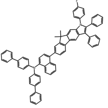 CC1(C)c2cc(-c3ccc(N(c4ccc(-c5ccccc5)cc4)c4ccc(-c5ccccc5)cc4)c4ccccc34)ccc2-c2cc3c(-c4ccccc4)c(-c4ccccc4)n(-c4ccc(F)cc4)c3cc21